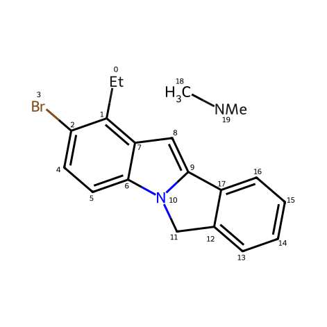 CCc1c(Br)ccc2c1cc1n2Cc2ccccc2-1.CNC